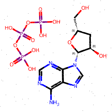 Nc1ncnc2c1ncn2[C@@H]1O[C@H](CO)C[C@H]1O.O=P(O)(O)OP(=O)(O)OP(=O)(O)O